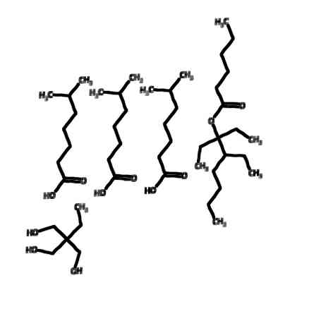 CC(C)CCCCC(=O)O.CC(C)CCCCC(=O)O.CC(C)CCCCC(=O)O.CCC(CO)(CO)CO.CCCCCC(=O)OC(CC)(CC)C(CC)CCCC